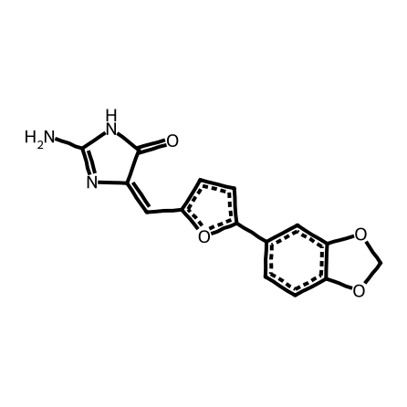 NC1=NC(=Cc2ccc(-c3ccc4c(c3)OCO4)o2)C(=O)N1